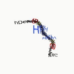 CCCCCCCCCCCCCCCCOC(=O)CCSCCCC(=N)NCCNCCN1CCN(CCNC(=N)CCCSCCC(=O)OCCCCCCCCCCCCCCCC)CC1